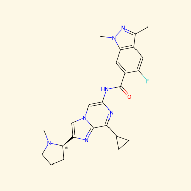 Cc1nn(C)c2cc(C(=O)Nc3cn4cc([C@H]5CCCN5C)nc4c(C4CC4)n3)c(F)cc12